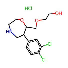 Cl.OCCOCC1OCCNCC1c1ccc(Cl)c(Cl)c1